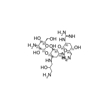 N=C(N)N[C@@H]1C[C@H](O)[C@@H](CN)O[C@@H]1O[C@H]1[C@H](O)[C@@H](O[C@H]2O[C@H](CO)[C@@H](O)[C@H](N)[C@H]2O)[C@H](NCC(O)CN)C[C@@H]1N